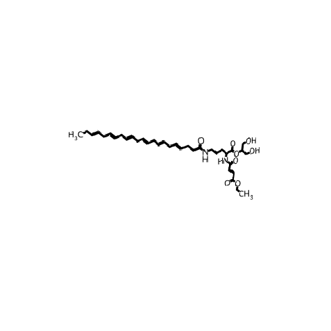 CCC=CCC=CCC=CCC=CCC=CCC=CCCC(=O)NCCCC(NC(=O)C=CC(=O)OCC)C(=O)OC(CO)CO